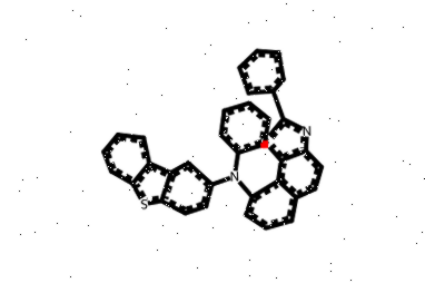 c1ccc(-c2nc3ccc4cccc(N(c5ccccc5)c5ccc6sc7ccccc7c6c5)c4c3o2)cc1